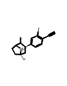 C#Cc1ccc([C@H]2C[C@H]3CCC(N3)C2C)cc1I